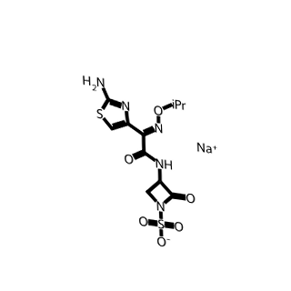 CC(C)O/N=C(/C(=O)NC1CN(S(=O)(=O)[O-])C1=O)c1csc(N)n1.[Na+]